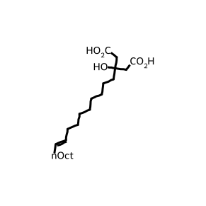 CCCCCCCCC=CCCCCCCCCC(O)(CC(=O)O)CC(=O)O